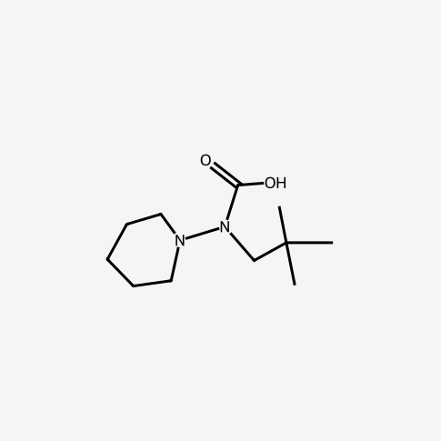 CC(C)(C)CN(C(=O)O)N1CCCCC1